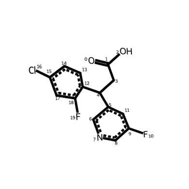 O=C(O)CC(c1cncc(F)c1)c1ccc(Cl)cc1F